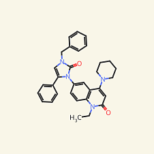 CCn1c(=O)cc(N2CCCCC2)c2cc(-n3c(-c4ccccc4)cn(Cc4ccccc4)c3=O)ccc21